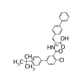 CC(C)(C)c1ccc(-c2ccc(Cl)c(C(=O)N[C@@H](Cc3ccc(-c4ccccc4)cc3)C(=O)O)c2)cc1